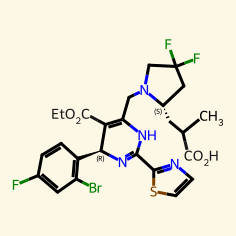 CCOC(=O)C1=C(CN2CC(F)(F)C[C@@H]2CC(C)C(=O)O)NC(c2nccs2)=N[C@H]1c1ccc(F)cc1Br